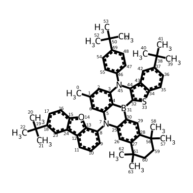 Cc1cc2c3c(c1)N(c1cccc4c1oc1ccc(C(C)(C)C)cc14)c1cc4c(cc1B3c1sc3ccc(C(C)(C)C)cc3c1N2c1ccc(C(C)(C)C)cc1)C(C)(C)CCC4(C)C